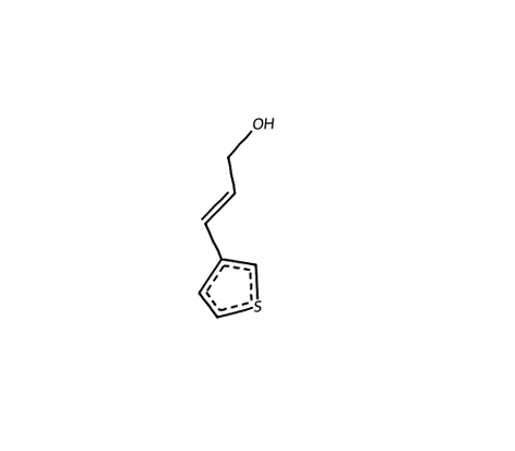 OCC=Cc1ccsc1